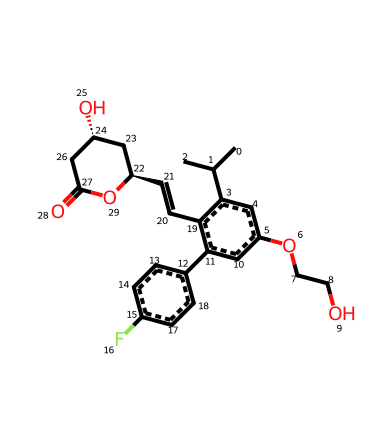 CC(C)c1cc(OCCO)cc(-c2ccc(F)cc2)c1/C=C/[C@@H]1C[C@@H](O)CC(=O)O1